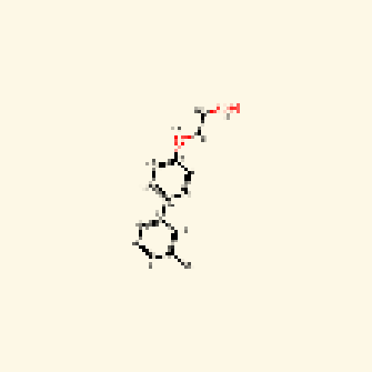 Cc1cccc(-c2ccc(OCCO)cc2)c1